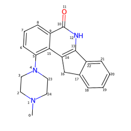 CN1CCN(c2cccc3c(=O)[nH]c4c(c23)Cc2ccccc2-4)CC1